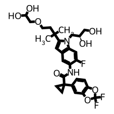 CC(C)(CCOCC(O)O)c1cc2cc(NC(=O)C3(c4ccc5c(c4)OC(F)(F)O5)CC3)c(F)cc2n1C[C@@H](O)CO